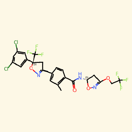 Cc1cc(C2=NO[C@@](c3cc(Cl)cc(Cl)c3)(C(F)(F)F)C2)ccc1C(=O)N[C@@H]1CC(OCC(F)(F)F)=NO1